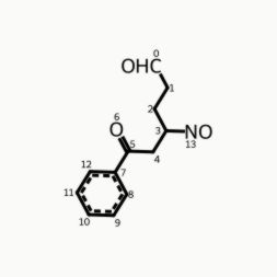 O=CCCC(CC(=O)c1ccccc1)N=O